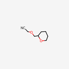 N#CCOCC1CCCCO1